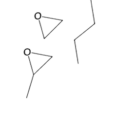 C1CO1.CC1CO1.CCCC